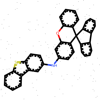 c1ccc2c(c1)Oc1cc(Nc3ccc4sc5ccccc5c4c3)ccc1C21c2ccccc2-c2ccccc21